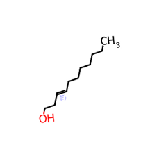 CCCCCCC/C=C/CCO